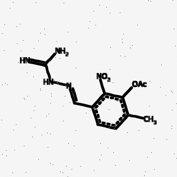 CC(=O)Oc1c(C)ccc(C=NNC(=N)N)c1[N+](=O)[O-]